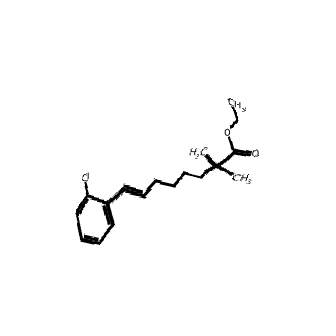 CCOC(=O)C(C)(C)CCCCC=Cc1ccccc1Cl